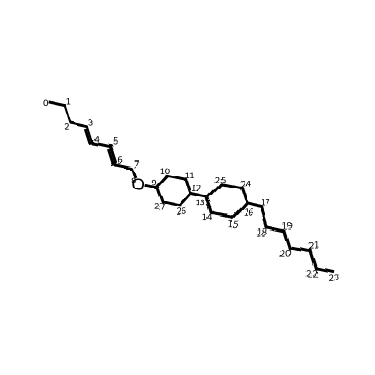 CCCC=CC=CCOC1CCC(C2CCC(CCCCCCC)CC2)CC1